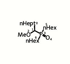 CCCCCCCC(OC)P(=O)(CCCCCC)CCCCCC